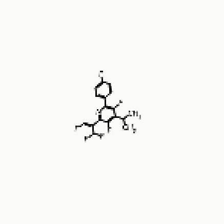 CC(C)c1c(F)c(C(=CF)C(F)F)nc(-c2ccc(F)cc2)c1F